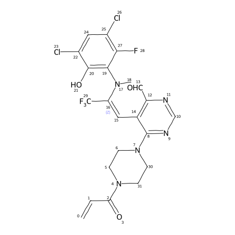 C=CC(=O)N1CCN(c2ncnc(C=O)c2/C=C(\N(C)c2c(O)c(Cl)cc(Cl)c2F)C(F)(F)F)CC1